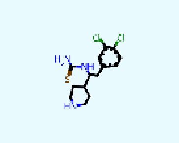 NC(=S)NC(Cc1ccc(Cl)c(Cl)c1)C1CCNCC1